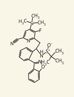 CC(C)(C)[S@+]([O-])NC(Cc1nc(C#N)cc([Si](C)(C)C)c1F)c1ccccc1-c1noc2ccccc12